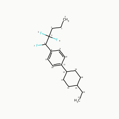 CCCC(F)(F)C(F)c1ccc(C2CCC(CC)CC2)cc1